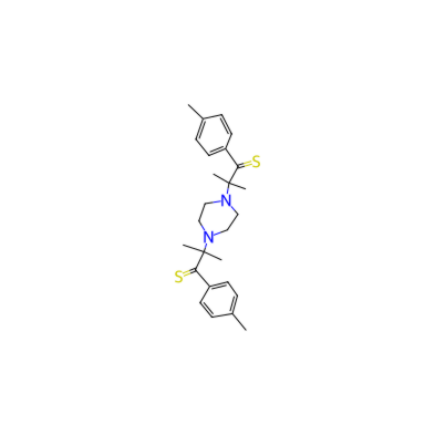 Cc1ccc(C(=S)C(C)(C)N2CCN(C(C)(C)C(=S)c3ccc(C)cc3)CC2)cc1